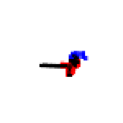 CCCCCCCCCCCCCCCCOCCCO[P@@](=O)(OCOC(=O)OC(C)C)OC[C@H]1O[C@@](C#N)(c2ccc3c(N)ncnn23)[C@H](OC(C)=O)[C@@H]1OC(C)=O